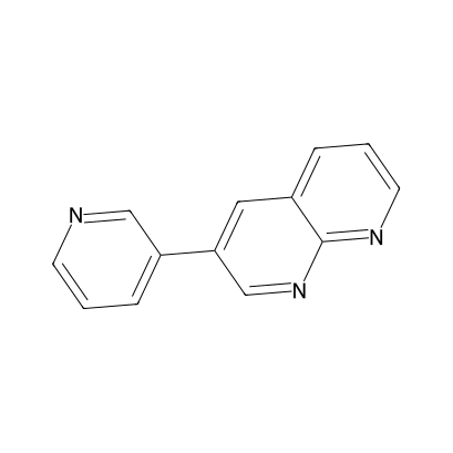 c1cncc(-c2cnc3ncccc3c2)c1